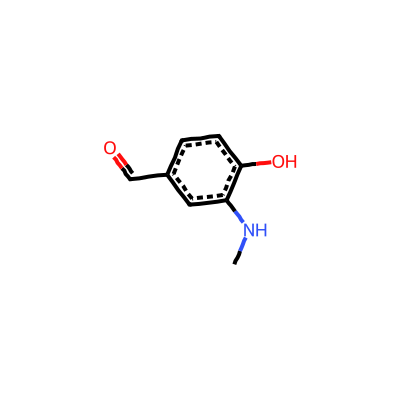 CNc1cc(C=O)ccc1O